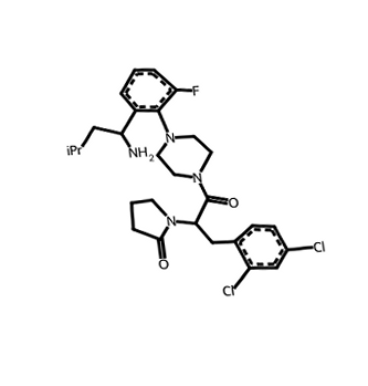 CC(C)CC(N)c1cccc(F)c1N1CCN(C(=O)C(Cc2ccc(Cl)cc2Cl)N2CCCC2=O)CC1